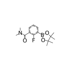 CN(C)C(=O)c1cccc(B2OC(C)(C)C(C)(C)O2)c1F